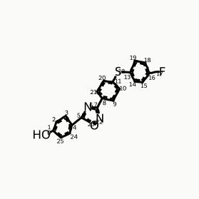 Oc1ccc(-c2nc(-c3ccc(Sc4ccc(F)cc4)cc3)no2)cc1